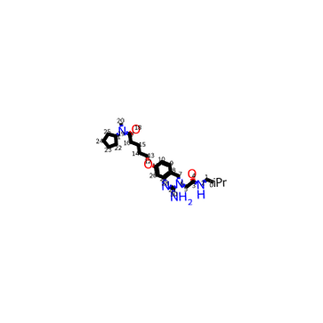 CC(C)CNC(=O)CN1Cc2ccc(OCCCCC(=O)N(C)C3CCCC3)cc2N=C1N